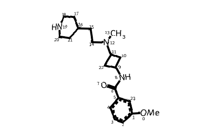 COc1cccc(C(=O)NC2CC(N(C)CCC3CCNCC3)C2)c1